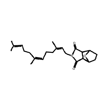 CC(C)=CCCC(C)=CCCC(C)=CCN1C(=O)C2C3CCC(O3)C2C1=O